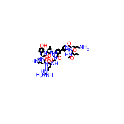 CC[C@H](C)[C@H](NC(C)=O)C(=O)N[C@@H](CCCCN)C(=O)N1CC2CC1CC2c1ccc2ncn(CC(=O)N[C@@H](CCCNC(=N)N)C(=O)N[C@@H](Cc3c[nH]cn3)C(=O)N[C@@H](Cc3ccc(O)cc3)C(=O)N[C@@H](CC(C)C)C(=O)NC)c(=O)c2c1